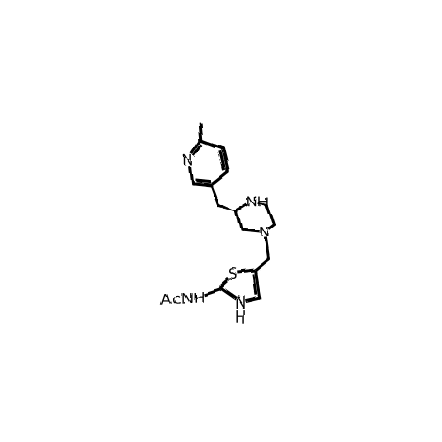 CC(=O)NC1NC=C(CN2CCN[C@H](Cc3ccc(C)nc3)C2)S1